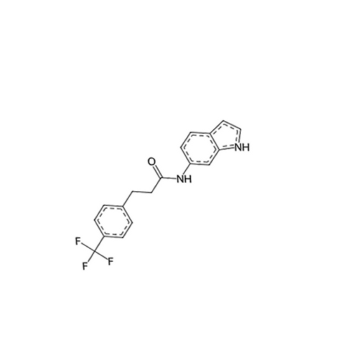 O=C(CCc1ccc(C(F)(F)F)cc1)Nc1ccc2cc[nH]c2c1